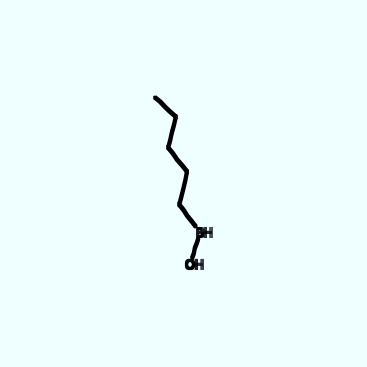 CCCCCBO